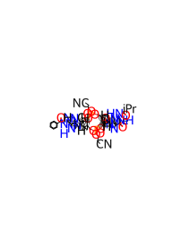 CO[C@H]1[C@H]2OP(=O)(OCCC#N)OCC34C[C@@H]3[C@@H](n3cnc5c(NC(=O)c6ccccc6)ncnc53)[C@H](C)[C@@H]4OP(=O)(OCCC#N)OC[C@H]1O[C@H]2n1cnc2c(=O)[nH]c(NC(=O)C(C)C)nc21